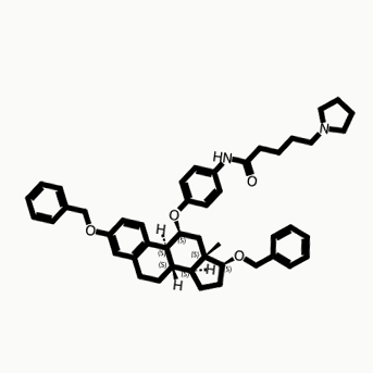 C[C@]12C[C@H](Oc3ccc(NC(=O)CCCCN4CCCC4)cc3)[C@@H]3c4ccc(OCc5ccccc5)cc4CC[C@H]3[C@@H]1CC[C@@H]2OCc1ccccc1